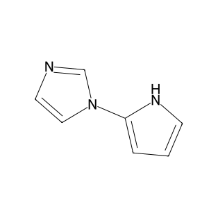 c1c[nH]c(-n2ccnc2)c1